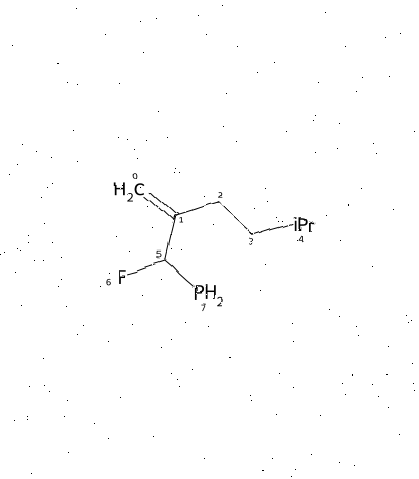 C=C(CCC(C)C)C(F)P